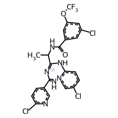 CC(NC(=O)c1cc(Cl)cc(OC(F)(F)F)c1)/C(=N/C(=N)c1ccc(Cl)nc1)Nc1ccc(Cl)cn1